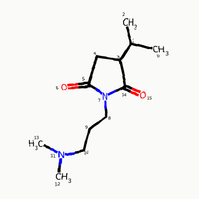 CC(C)C1CC(=O)N(CCCN(C)C)C1=O